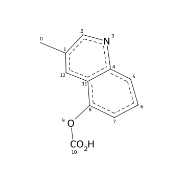 Cc1cnc2cccc(OC(=O)O)c2c1